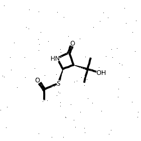 CC(=O)S[C@H]1NC(=O)[C@H]1C(C)(C)O